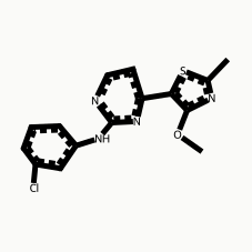 COc1nc(C)sc1-c1ccnc(Nc2cccc(Cl)c2)n1